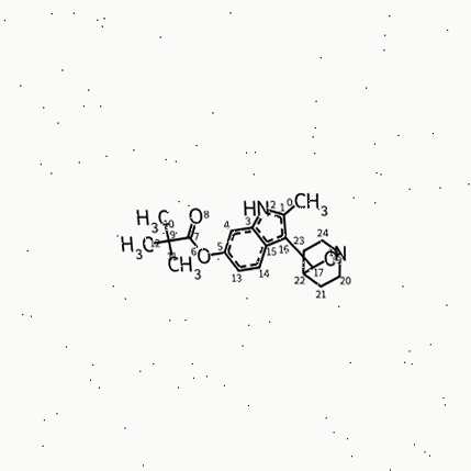 Cc1[nH]c2cc(OC(=O)C(C)(C)C)ccc2c1C1CN2CCC1CC2